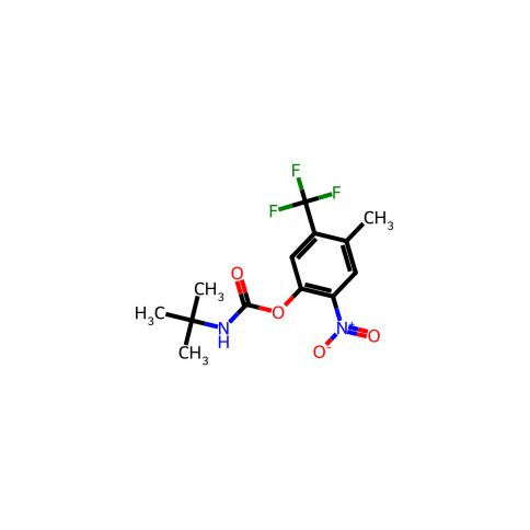 Cc1cc([N+](=O)[O-])c(OC(=O)NC(C)(C)C)cc1C(F)(F)F